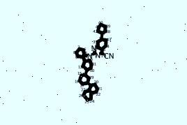 N#Cc1nc(-n2c3ccccc3c3cc(-c4cccc(-c5cccc6ccccc56)c4)ccc32)nc2cc(-c3ccccc3)ccc12